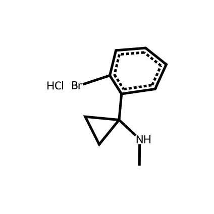 CNC1(c2ccccc2Br)CC1.Cl